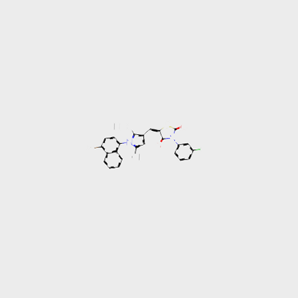 Cc1cc(C=C2SC(=O)N(c3cccc(Cl)c3)C2=O)c(C)n1-c1ccc(Br)c2ccccc12